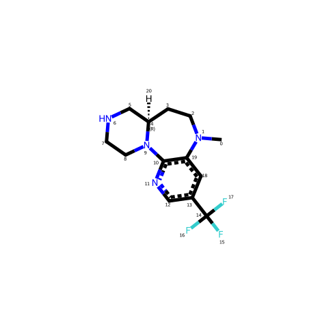 CN1CC[C@@H]2CNCCN2c2ncc(C(F)(F)F)cc21